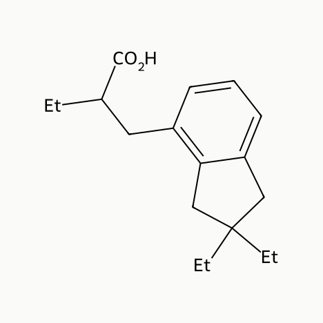 CCC(Cc1cccc2c1CC(CC)(CC)C2)C(=O)O